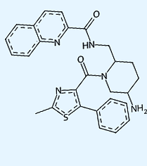 Cc1nc(C(=O)N2CC(N)CCC2CNC(=O)c2ccc3ccccc3n2)c(-c2ccccc2)s1